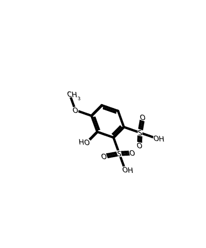 COc1ccc(S(=O)(=O)O)c(S(=O)(=O)O)c1O